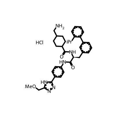 COCc1nnc(-c2ccc(NC(=O)[C@H](Cc3cccc(-c4ccccc4C(C)C)c3)NC(=O)C3CCC(CN)CC3)cc2)[nH]1.Cl